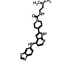 CN(C)CCNC(=O)N1CC=C(c2cc3c(Nc4ccc5ncsc5c4)ccnc3[nH]2)CC1